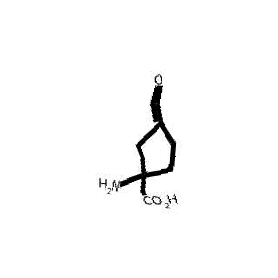 NC1(C(=O)O)CCC(=C=O)C1